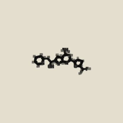 Nc1nc(-c2ccc(C(F)F)o2)nc2sc(C(O)Cc3ccccn3)cc12